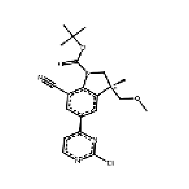 COC[C@@]1(C)CN(C(=O)OC(C)(C)C)c2c(C#N)cc(-c3ccnc(Cl)n3)cc21